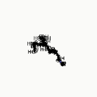 O=C(O)CCC(=O)NC1(C(=O)NCCC(=O)Nc2cc(COC(=O)Nc3cccc(C(=O)N4CCC(CCCCNC(=O)/C=C/c5cccnc5)CC4)c3)ccc2OC2=C(O)[C@@H](O)C(O)C(C(=O)O)O2)CNC1